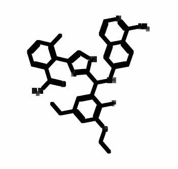 CCOc1cc(CC)cc(C(Nc2ccc3c(N)nccc3c2)c2nc(-c3c(C)cccc3C(N)=O)c[nH]2)c1F